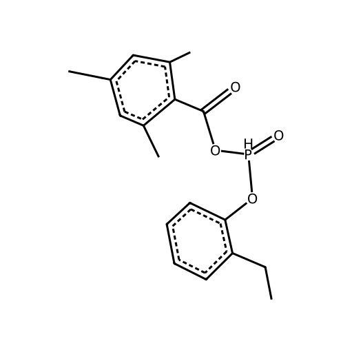 CCc1ccccc1O[PH](=O)OC(=O)c1c(C)cc(C)cc1C